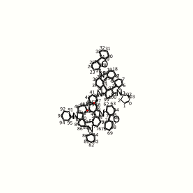 C1=CCC(n2c3ccccc3c3c4c5c6c7ccccc7n(-c7cccc8c7oc7ccccc78)c6ccc5n(-c5ccc(-c6ccc7c(c6)c6c8c9c%10c%11ccccc%11n(-c%11cccc%12oc%13ccccc%13c%11%12)c%10ccc9n(-c9ccccc9)c8ccc6n7-c6ccccc6)cc5)c4ccc32)C=C1